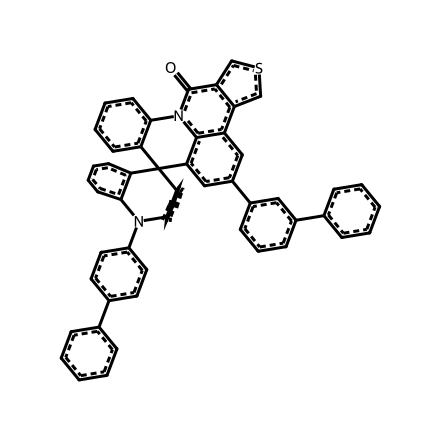 O=c1c2cscc2c2cc(-c3cccc(-c4ccccc4)c3)cc3c2n1-c1ccccc1C31c2ccccc2N(c2ccc(-c3ccccc3)cc2)c2ccccc21